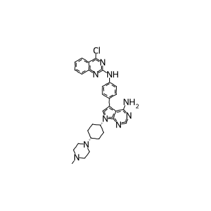 CN1CCN([C@H]2CC[C@@H](n3cc(-c4ccc(Nc5nc(Cl)c6ccccc6n5)cc4)c4c(N)ncnc43)CC2)CC1